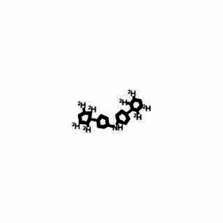 [2H]c1cc([2H])c([2H])c(-c2ccc(Nc3ccc(-c4c([2H])c([2H])cc([2H])c4[2H])cc3)cc2)c1[2H]